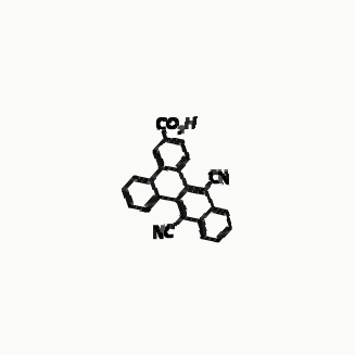 N#Cc1c2ccccc2c(C#N)c2c3ccc(C(=O)O)cc3c3ccccc3c12